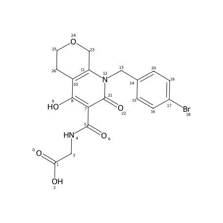 O=C(O)CNC(=O)c1c(O)c2c(n(Cc3ccc(Br)cc3)c1=O)COCC2